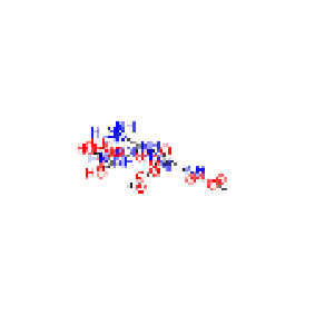 C=CC(=O)OCCOC(=O)NCCCC[C@H](NC(=O)OCCOC(=O)C=C)C(=O)NCC(=O)N[C@@H](CCCNC(=N)N)C(=O)NCC(=O)N[C@@H](CC(=O)O)C(=O)N[C@@H](CO)C(=O)O